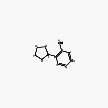 N#Cc1cnccc1N1CCCC1